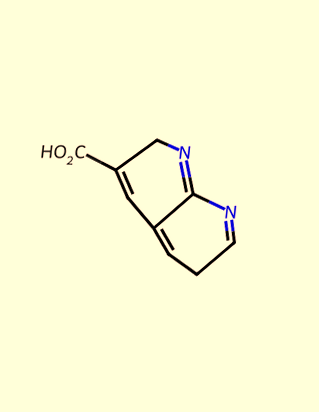 O=C(O)C1=CC2=CCC=NC2=NC1